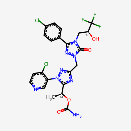 C[C@H](OC(N)=O)c1nc(Cn2nc(-c3ccc(Cl)cc3)n(C[C@H](O)C(F)(F)F)c2=O)nn1-c1cnccc1Cl